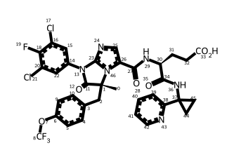 C[C@@]1(Cc2ccc(OC(F)(F)F)cc2)C(=O)N(c2cc(Cl)c(F)c(Cl)c2)c2ncc(C(=O)N[C@@H](CCC(=O)O)C(=O)NC3(c4ccccn4)CC3)n21